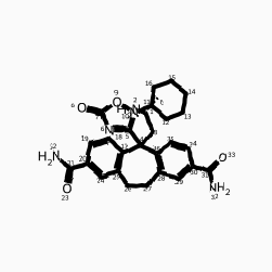 C[C@@H](N)CC1(c2nc(=O)on2C2CCCCC2)c2ccc(C(N)=O)cc2CCc2cc(C(N)=O)ccc21